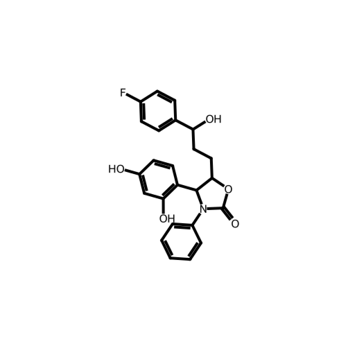 O=C1OC(CCC(O)c2ccc(F)cc2)C(c2ccc(O)cc2O)N1c1ccccc1